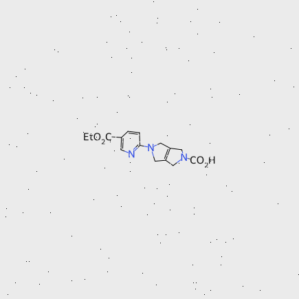 CCOC(=O)c1ccc(N2CC3=C(CN(C(=O)O)C3)C2)nc1